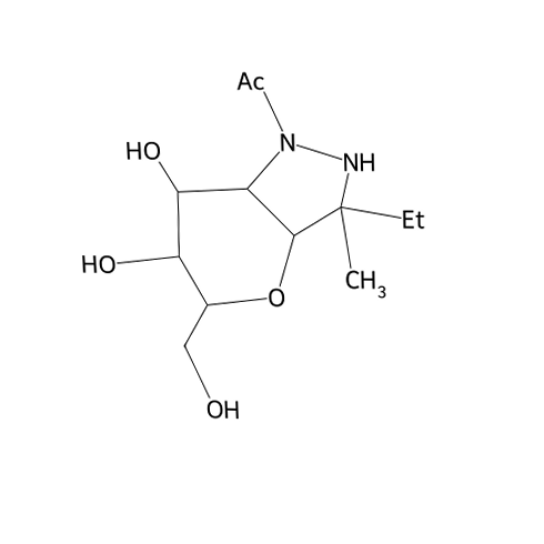 CCC1(C)NN(C(C)=O)C2C(O)C(O)C(CO)OC21